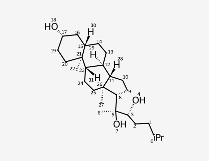 CC(C)CC[C@@H](O)[C@@](C)(O)[C@H]1CC[C@H]2[C@@H]3CC[C@H]4C[C@@H](O)CC[C@]4(C)[C@H]3CC[C@]12C